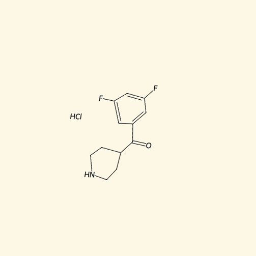 Cl.O=C(c1cc(F)cc(F)c1)C1CCNCC1